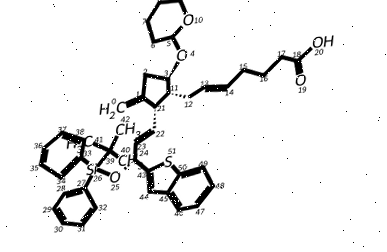 C=C1C[C@@H](OC2CCCCO2)[C@H](CC=CCCCC(=O)O)[C@@H]1C=C[C@@H](O[Si](c1ccccc1)(c1ccccc1)C(C)(C)C)c1cc2ccccc2s1